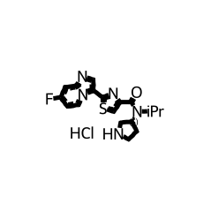 CC(C)N(C(=O)c1csc(-c2cnc3cc(F)ccn23)n1)[C@H]1CCNC1.Cl